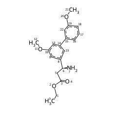 CCOC(=O)C[C@H](N)c1cc(OC)cc(-c2cccc(OC)c2)c1